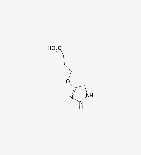 O=C(O)CCCOC1=NNNC1